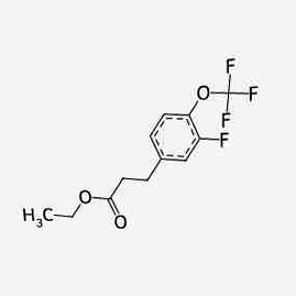 CCOC(=O)CCc1ccc(OC(F)(F)F)c(F)c1